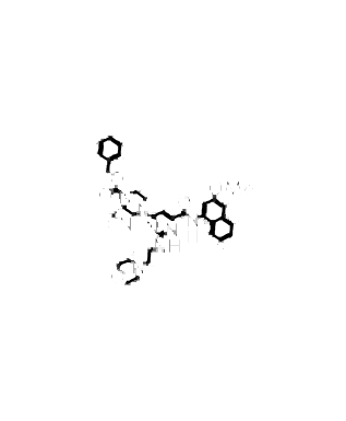 COc1cc(NC(=O)c2cc(N3CCN(C(=O)OCc4ccccc4)[C@@H](CC#N)C3)nc(NCCN3CCOCC3)n2)c2ccccc2c1